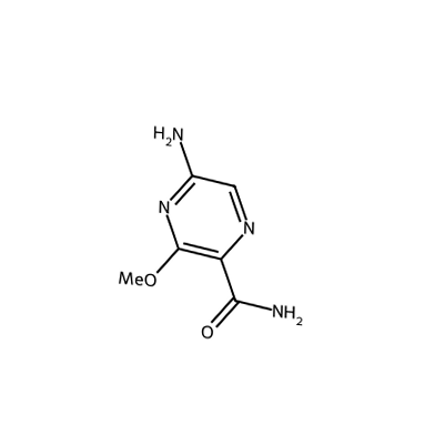 COc1nc(N)cnc1C(N)=O